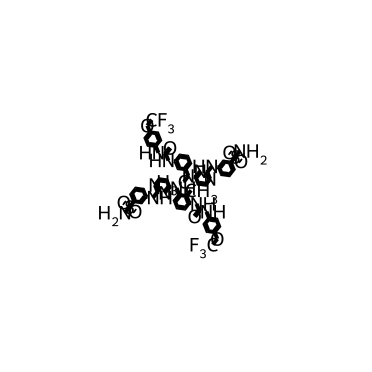 CN(c1cccc(NC(=O)Nc2ccc(OC(F)(F)F)cc2)c1)c1ccnc(Nc2cccc(S(N)(=O)=O)c2)n1.Cc1c(NC(=O)Nc2ccc(OC(F)(F)F)cc2)cccc1Nc1ccnc(Nc2cccc(S(N)(=O)=O)c2)n1